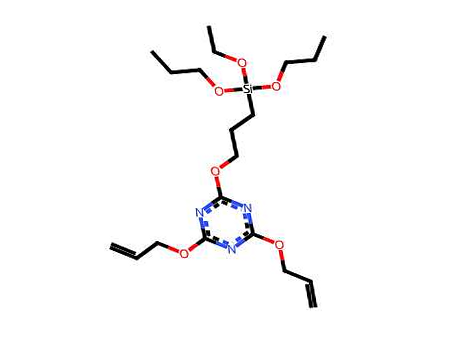 C=CCOc1nc(OCC=C)nc(OCCC[Si](OCC)(OCCC)OCCC)n1